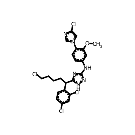 COc1cc(Nc2n[nH]c(C(CCCCCl)c3ccc(Cl)cc3Cl)n2)ccc1-n1cnc(Cl)c1